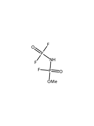 COP(=O)(F)NP(=O)(F)F